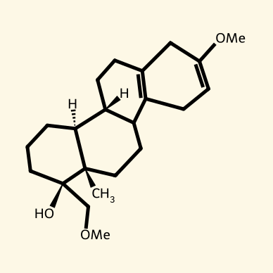 COC[C@]1(O)CCC[C@H]2[C@@H]3CCC4=C(CC=C(OC)C4)C3CC[C@@]21C